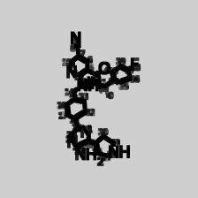 C[C@H](NC(=O)c1cc(C#N)cnc1NCc1ccc(-c2cnc(N)c(C3=CCNCC3)n2)cc1)c1ccc(F)cc1